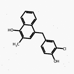 Cc1cc(Cc2ccc(O)c(Cl)c2)c2ccccc2c1O